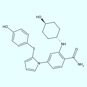 NC(=O)c1ccc(-n2cccc2Sc2ccc(O)cc2)cc1N[C@H]1CC[C@H](O)CC1